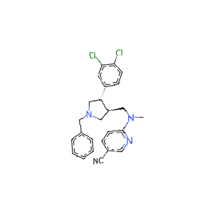 CN(C[C@H]1CN(Cc2ccccc2)C[C@@H]1c1ccc(Cl)c(Cl)c1)c1ccc(C#N)cn1